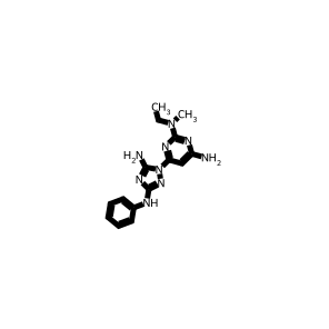 CCN(C)c1nc(N)cc(-n2nc(Nc3ccccc3)nc2N)n1